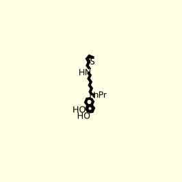 CCCN(CCCCCCNCCc1cccs1)C1CCc2c(ccc(O)c2O)C1